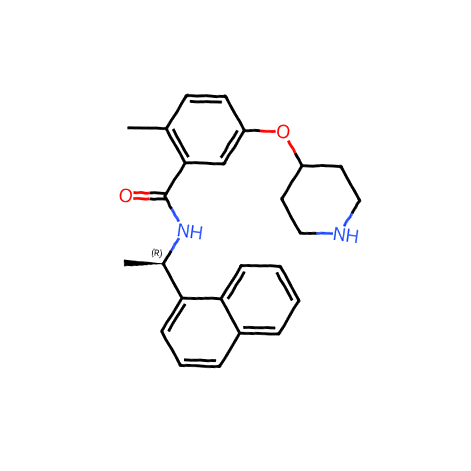 Cc1ccc(OC2CCNCC2)cc1C(=O)N[C@H](C)c1cccc2ccccc12